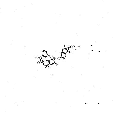 CCOC(=O)[C@H]1[C@@H]2Cc3cc(OCc4cc5c(cc4F)C(C)(C)CN(C(=O)OC(C)(C)C)[C@H]5c4ccccc4C(F)(F)F)ncc3[C@@H]21